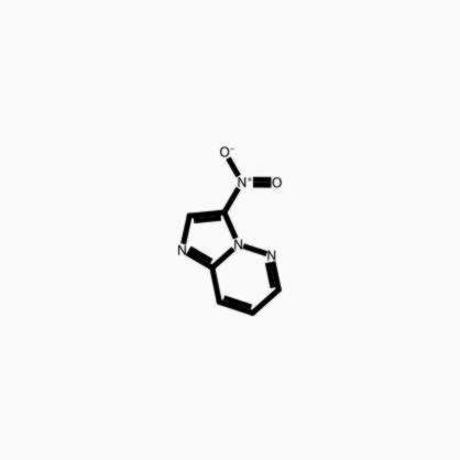 O=[N+]([O-])c1cnc2cccnn12